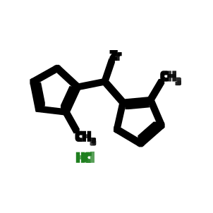 CC1=C([CH]([Zr])C2=C(C)C=CC2)CC=C1.Cl